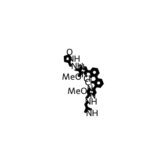 COc1nc(-c2cccc(-c3cccc(-c4cnc(CNCC5CCC(=O)N5)c(OC)n4)c3Cl)c2Cl)cnc1CNCC1CNC1